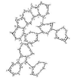 c1ccc(-c2nc(-c3ccccc3)nc(-c3cccc4oc5cc6oc7ccc(-c8ccc9c(c8)c8ccccc8n9-c8ccccc8)cc7c6cc5c34)n2)cc1